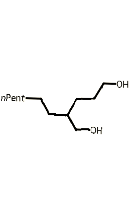 CCCCCCCC(CO)CCCO